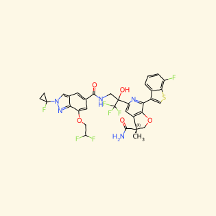 C[C@]1(C(N)=O)COc2c1cc(C(O)(CNC(=O)c1cc(OCC(F)F)c3nn(C4(F)CC4)cc3c1)C(F)(F)F)nc2-c1csc2c(F)cccc12